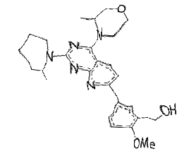 COc1ccc(-c2ccc3c(N4CCOCC4C)nc(N4CCCCC4C)nc3n2)cc1CO